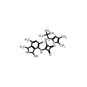 Cc1cc([C@H](Nc2c(Nc3c(F)cc(C)c4c3C(O)NC4C)c(=O)c2=O)C(C)(C)C)oc1C